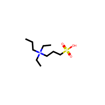 CCC[N+](CC)(CC)CCCS(=O)(=O)O